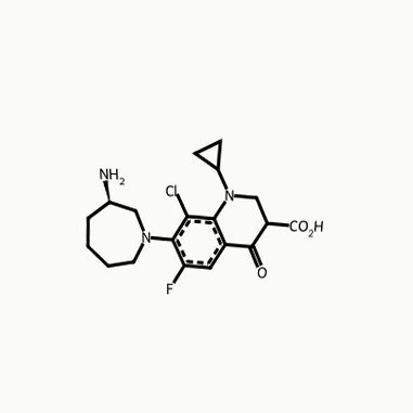 N[C@@H]1CCCCN(c2c(F)cc3c(c2Cl)N(C2CC2)CC(C(=O)O)C3=O)C1